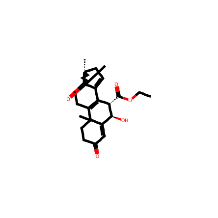 CCOC(=O)[C@H]1C2=C(CCC34C(=O)CC[C@]3(C)CC=C24)C2(C)CCC(=O)C=C2[C@@H]1O